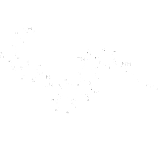 CCCCNc1ccc(/N=N\c2ccc(/N=N\c3ccc(N=Nc4ccc(OC(O)OCCCC)cc4)c4ccccc34)cc2)cc1